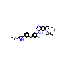 CCc1cc2ncnc(Nc3ccc(Cc4cccc(C5=NN=C(C)C5)c4)cc3F)c2cc1NC